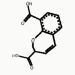 O=C(O)c1cccc2c1OC(C(=O)O)C=C2